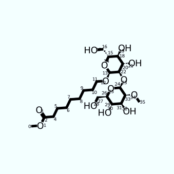 COC(=O)CCCCCCCCO[C@H]1O[C@H](CO)[C@@H](O)[C@H](O)[C@H]1O[C@@H]1O[C@H](CO)[C@@H](O)[C@H](O)[C@H]1OC